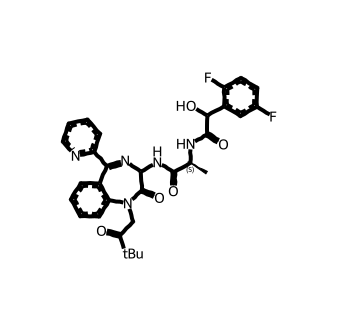 C[C@H](NC(=O)C(O)c1cc(F)ccc1F)C(=O)NC1N=C(c2ccccn2)c2ccccc2N(CC(=O)C(C)(C)C)C1=O